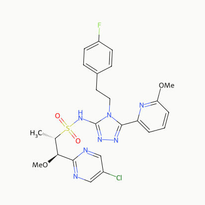 COc1cccc(-c2nnc(NS(=O)(=O)[C@@H](C)[C@H](OC)c3ncc(Cl)cn3)n2CCc2ccc(F)cc2)n1